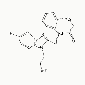 CC(C)CCn1c(CN2C(=O)COc3ccccc32)nc2cc(F)ccc21